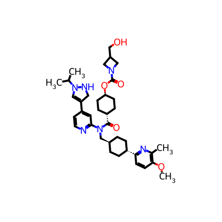 COc1ccc([C@H]2CC[C@H](CN(c3cc(C4=CN(C(C)C)NC4)ccn3)C(=O)[C@H]3CC[C@H](OC(=O)N4CC(CO)C4)CC3)CC2)nc1C